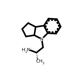 C[C@H](N)CN1c2ccccc2C2CCCC21